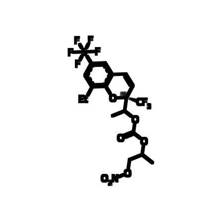 CCc1cc(S(F)(F)(F)(F)F)cc2c1O[C@@](C(C)OC(=O)OC(C)CO[N+](=O)[O-])(C(F)(F)F)C=C2